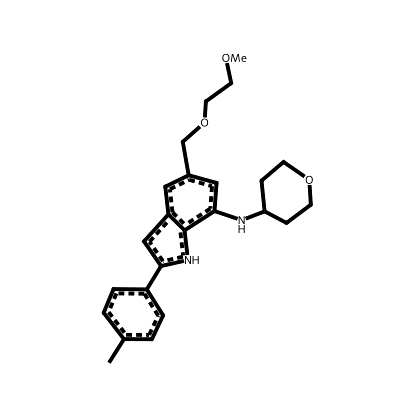 COCCOCc1cc(NC2CCOCC2)c2[nH]c(-c3ccc(C)cc3)cc2c1